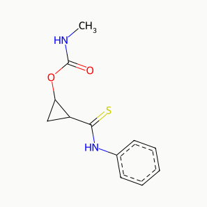 CNC(=O)OC1CC1C(=S)Nc1ccccc1